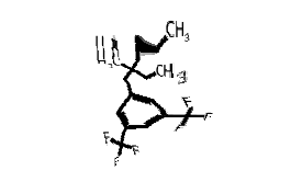 CCCC(C)(CC)Cc1cc(C(F)(F)F)cc(C(F)(F)F)c1